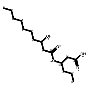 CCCCCCCC(O)CC(=O)OC(CCC)CC(=O)O